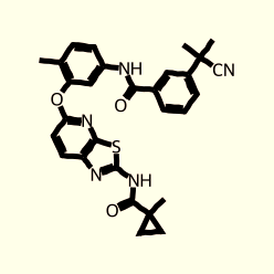 Cc1ccc(NC(=O)c2cccc(C(C)(C)C#N)c2)cc1Oc1ccc2nc(NC(=O)C3(C)CC3)sc2n1